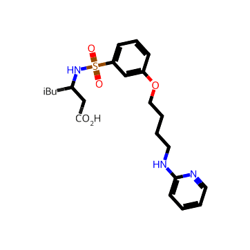 CCC(C)C(CC(=O)O)NS(=O)(=O)c1cccc(OCCCCNc2ccccn2)c1